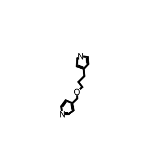 c1cc(CCCOCc2ccncc2)ccn1